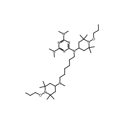 CCCON1C(C)(C)CC(N(C)CCCCCCN(c2nc(N(C)C)nc(N(C)C)n2)C2CC(C)(C)N(OCCC)C(C)(C)C2)CC1(C)C